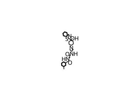 Cc1cccc(C(=O)NCC(=O)NC2CN([C@H]3CC[C@@](O)(c4nc5ccccc5s4)CC3)C2)c1